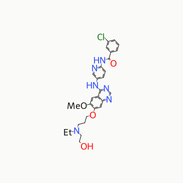 CCN(CCO)CCCOc1cc2ncnc(Nc3ccc(NC(=O)c4cccc(Cl)c4)nc3)c2cc1OC